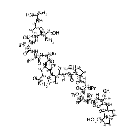 CC[C@H](C)[C@H](NC(=O)[C@@H](NC(=O)[C@@H](NC(=O)[C@H](CCCNC(=N)N)NC(=O)[C@@H](N)CO)C(C)C)C(C)C)C(=O)N[C@@H](CCC(N)=O)C(=O)N1CCC[C@H]1C(=O)N[C@@H](CO)C(=O)N1CCC[C@H]1C(=O)N[C@H](C(=O)N[C@H](C(=O)N[C@H](C(=O)N[C@H](C(=O)N[C@@H](CC(C)C)C(=O)N1CCC[C@H]1C(=O)O)[C@@H](C)O)C(C)C)C(C)C)C(C)C